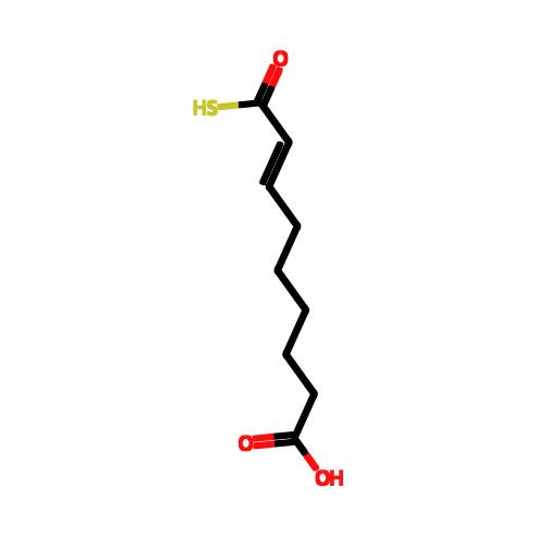 O=C(S)/C=C/CCCCCC(=O)O